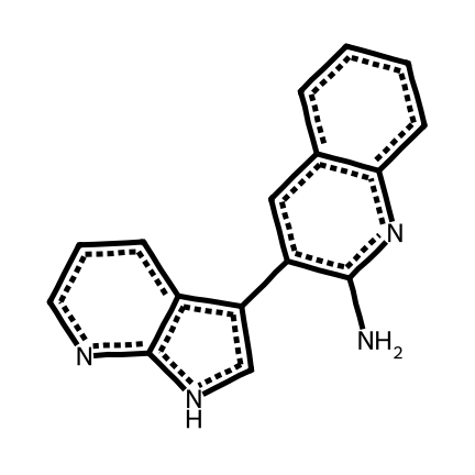 Nc1nc2ccccc2cc1-c1c[nH]c2ncccc12